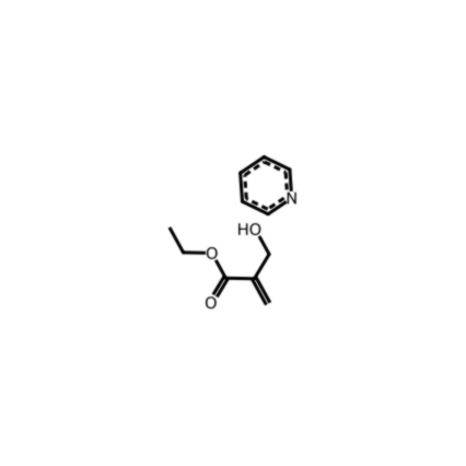 C=C(CO)C(=O)OCC.c1ccncc1